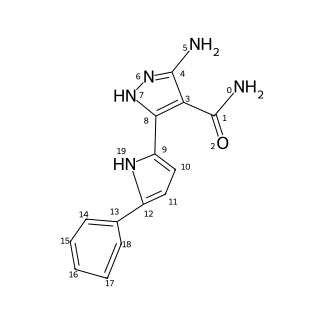 NC(=O)c1c(N)n[nH]c1-c1ccc(-c2ccccc2)[nH]1